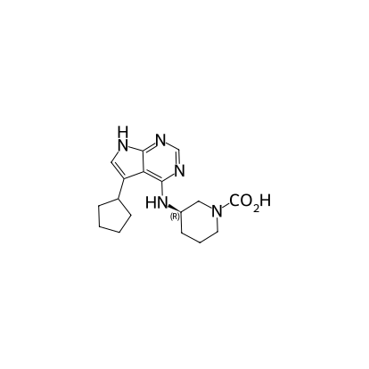 O=C(O)N1CCC[C@@H](Nc2ncnc3[nH]cc(C4CCCC4)c23)C1